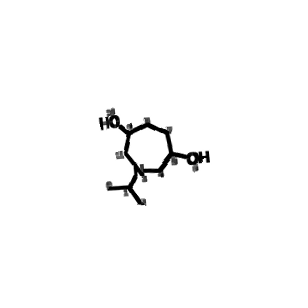 CC(C)N1CC(O)CCC(O)C1